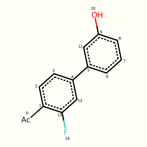 CC(=O)c1ccc(-c2cccc(O)c2)cc1F